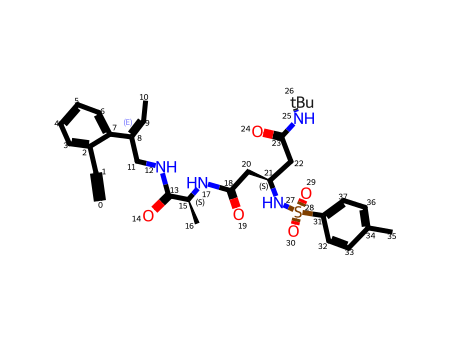 C#Cc1ccccc1/C(=C\C)CNC(=O)[C@H](C)NC(=O)C[C@@H](CC(=O)NC(C)(C)C)NS(=O)(=O)c1ccc(C)cc1